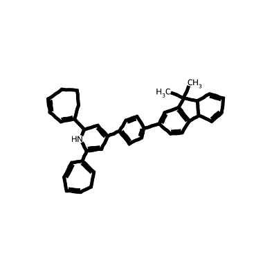 CC1(C)c2cc(-c3ccc(C4=CC(C5=CC=CCCC5)NC(C5=CCC=CC=C5)=C4)cc3)ccc2C2C=CC=CC21